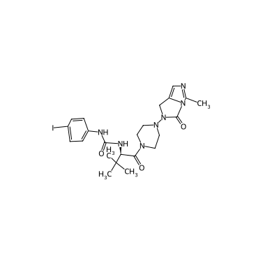 Cc1ncc2n1C(=O)N(N1CCN(C(=O)[C@H](NC(=O)Nc3ccc(I)cc3)C(C)(C)C)CC1)C2